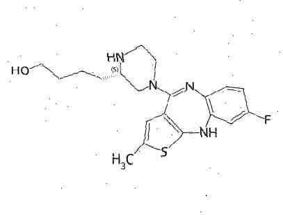 Cc1cc2c(s1)Nc1cc(F)ccc1N=C2N1CCN[C@@H](CCCCO)C1